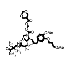 COCCCOc1cc(C[C@@H](C[C@H]2[C@H](C[C@H](C(=O)NCC(C)(C)C(N)=O)C(C)C)OCN2C(=O)OCOC(=O)C2COCOC2)C(C)C)ccc1OC